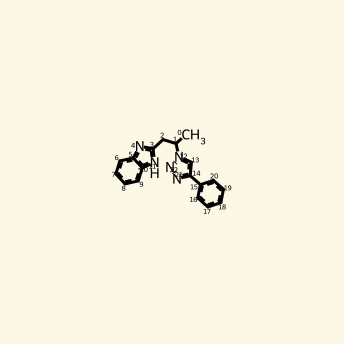 CC(Cc1nc2ccccc2[nH]1)n1cc(-c2ccccc2)nn1